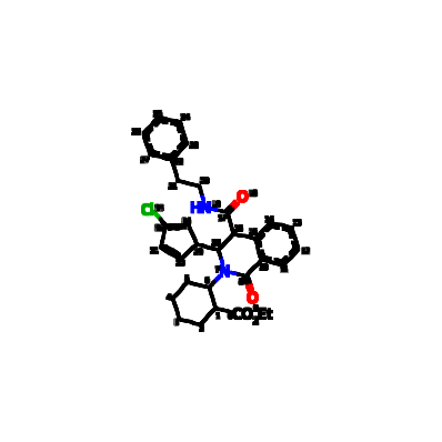 CCOC(=O)C1CCCCC1N1C(=O)c2ccccc2C(C(=O)NCCc2ccccc2)C1C1C=CC(Cl)=C1